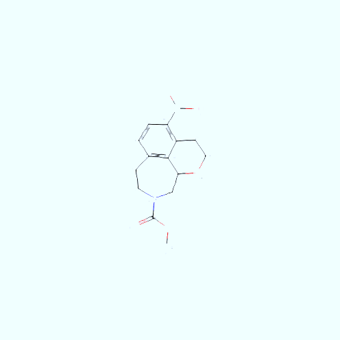 CC(C)(C)OC(=O)N1CCc2ccc(B(O)O)c3c2C(C1)OCC3